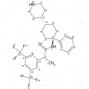 CC(C(=O)N[C@]1(c2ccccc2)CC[C@@H](C2CCNCC2)CC1)c1cc(C(F)(F)F)cc(C(F)(F)F)c1